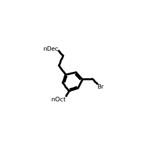 CCCCCCCCCCCCc1cc(CBr)cc(CCCCCCCC)c1